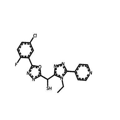 CCn1c(-c2ccncc2)nnc1C(S)c1nnc(-c2cc(Cl)ccc2F)o1